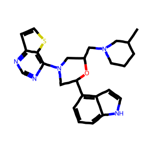 CC1CCCN(CC2CN(c3ncnc4ccsc34)CC(c3cccc4[nH]ccc34)O2)C1